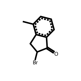 Cc1cccc2c1CC(Br)C2=O